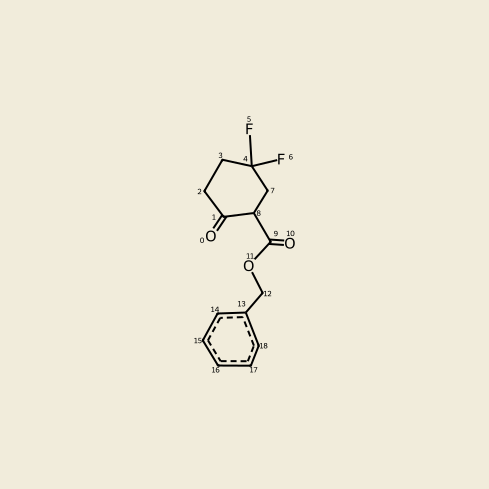 O=C1CCC(F)(F)CC1C(=O)OCc1ccccc1